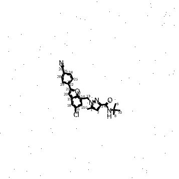 Cc1cc(C(=O)NC(C)(C)C)nn1Cc1cc(Cl)cc2cc(-c3ccc(C#N)cc3)oc12